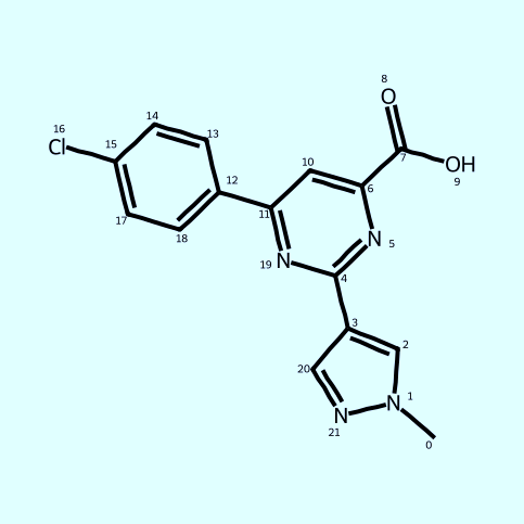 Cn1cc(-c2nc(C(=O)O)cc(-c3ccc(Cl)cc3)n2)cn1